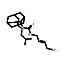 CC(C)CNC12CC3CC(C1)C(OC(=O)NC/C=C/CN)C(C3)C2